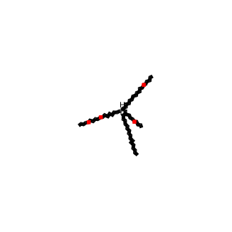 CCCCCCCCCCCCCCCCCC[PH](CCCCCCCCCC)(CCCCCCCCCCCCCCCCCC)CCCCCCCCCCCCCCCCCC